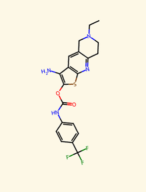 CCN1CCc2nc3sc(OC(=O)Nc4ccc(C(F)(F)F)cc4)c(N)c3cc2C1